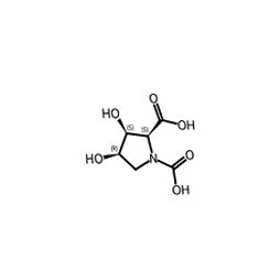 O=C(O)[C@@H]1[C@H](O)[C@H](O)CN1C(=O)O